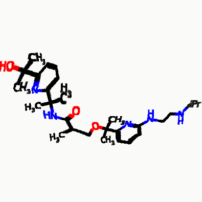 CC(C)NCCNc1cccc(C(C)(C)OCC(C)C(=O)NC(C)(C)c2cccc(C(C)(C)O)n2)n1